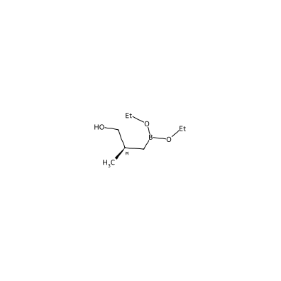 CCOB(C[C@@H](C)CO)OCC